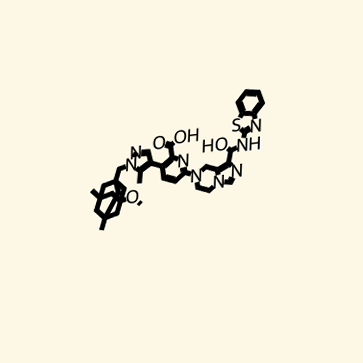 COC12CC3(C)CC(C)(CC(Cn4ncc(-c5ccc(N6CCn7cnc(C(O)Nc8nc9ccccc9s8)c7C6)nc5C(=O)O)c4C)(C3)C1)C2